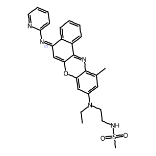 CCN(CCNS(C)(=O)=O)c1cc(C)c2nc3c4ccccc4/c(=N\c4ccccn4)cc-3oc2c1